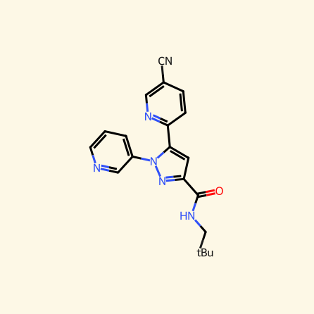 CC(C)(C)CNC(=O)c1cc(-c2ccc(C#N)cn2)n(-c2cccnc2)n1